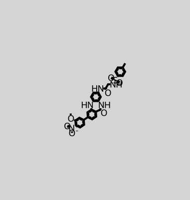 COc1cc(-c2ccc3c(c2)Nc2ccc(NC(=O)CNS(=O)(=O)c4ccc(C)cc4)cc2NC3=O)ccc1[N+](=O)[O-]